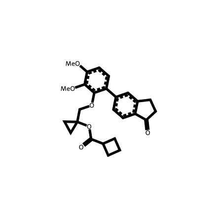 COc1ccc(-c2ccc3c(c2)CCC3=O)c(OCC2(OC(=O)C3CCC3)CC2)c1OC